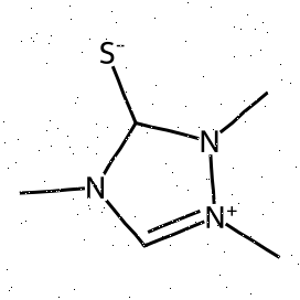 CN1C=[N+](C)N(C)C1[S-]